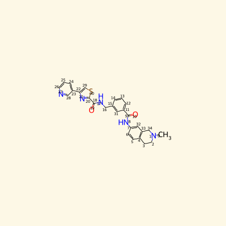 CN1CCc2ccc(NC(=O)c3cccc(CNC(=O)c4nc(-c5cccnc5)cs4)c3)cc2C1